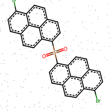 O=S(=O)(c1ccc2ccc3c(Br)ccc4ccc1c2c43)c1ccc2ccc3c(Br)ccc4ccc1c2c43